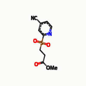 COC(=O)CCS(=O)(=O)c1cc(C#N)ccn1